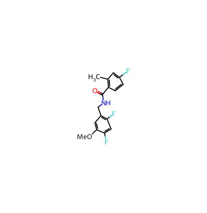 COc1cc(CNC(=O)c2ccc(F)cc2C)c(F)cc1F